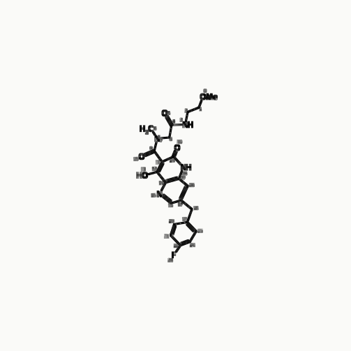 COCCNC(=O)CN(C)C(=O)c1c(O)c2ncc(Cc3ccc(F)cc3)cc2[nH]c1=O